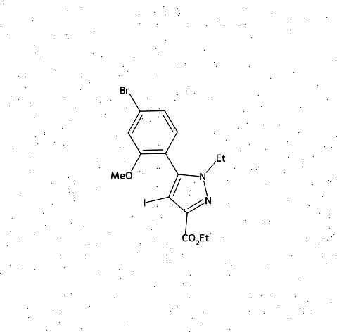 CCOC(=O)c1nn(CC)c(-c2ccc(Br)cc2OC)c1I